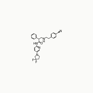 N#Cc1ccc(CCNCC(C(=O)Nc2ccc(N3CCC(F)(F)C3)cn2)c2ccccc2)cc1